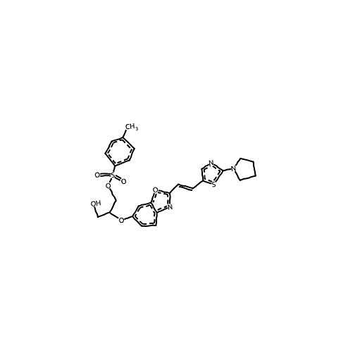 Cc1ccc(S(=O)(=O)OCC(CO)Oc2ccc3nc(/C=C/c4cnc(N5CCCC5)s4)oc3c2)cc1